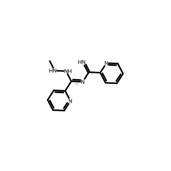 CNN/C(=N\C(=N)c1ccccn1)c1ccccn1